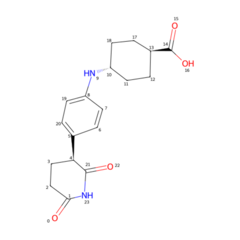 O=C1CC[C@@H](c2ccc(N[C@H]3CC[C@H](C(=O)O)CC3)cc2)C(=O)N1